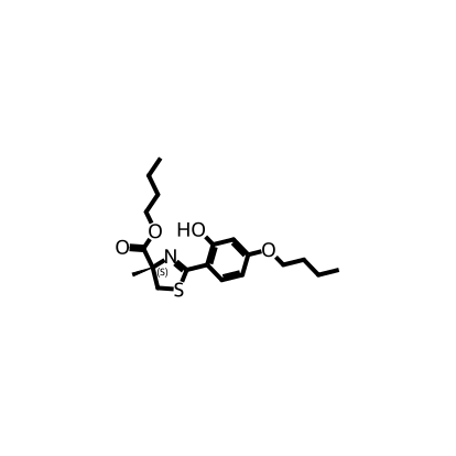 CCCCOC(=O)[C@@]1(C)CSC(c2ccc(OCCCC)cc2O)=N1